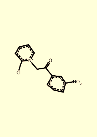 O=C(C[n+]1ccccc1Cl)c1cccc([N+](=O)[O-])c1